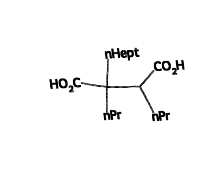 CCCCCCCC(CCC)(C(=O)O)C(CCC)C(=O)O